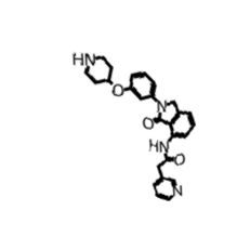 O=C(Cc1cccnc1)Nc1cccc2c1C(=O)N(c1cccc(OC3CCNCC3)c1)C2